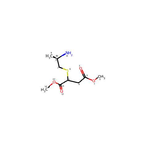 COC(=O)CC(SC[C@@H](C)N)C(=O)OC